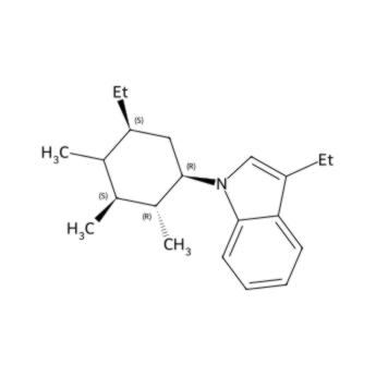 CCc1cn([C@@H]2C[C@H](CC)C(C)[C@H](C)[C@H]2C)c2ccccc12